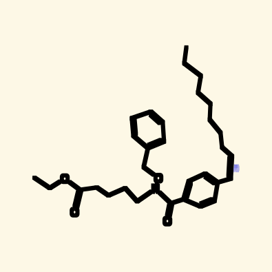 CCCCCCCC/C=C\c1ccc(C(=O)N(CCCCC(=O)OCC)OCc2ccccc2)cc1